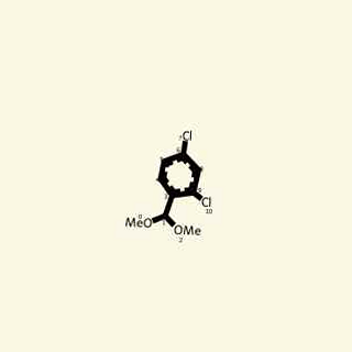 COC(OC)c1ccc(Cl)cc1Cl